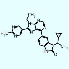 CCn1c(-c2cnc(C)nc2)nc2c(-c3ccc4[nH]c(=O)n([C@H](C)C5CC5)c4c3)ncnc21